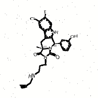 C#CCNCCCN1C(=O)N2[C@H](c3cccc(O)c3)c3[nH]c4cc(F)c(Cl)cc4c3C[C@@]2(C)C1=O